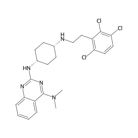 CN(C)c1nc(N[C@H]2CC[C@@H](NCCc3c(Cl)ccc(Cl)c3Cl)CC2)nc2ccccc12